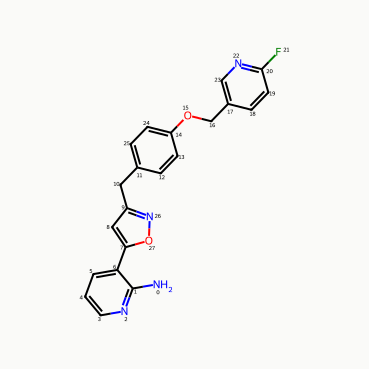 Nc1ncccc1-c1cc(Cc2ccc(OCc3ccc(F)nc3)cc2)no1